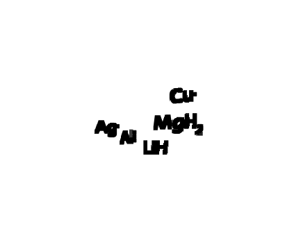 [Ag].[Al].[Cu].[LiH].[MgH2]